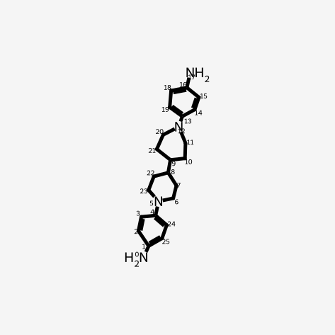 Nc1ccc(N2CCC(C3CCN(c4ccc(N)cc4)CC3)CC2)cc1